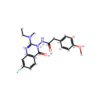 CCN(C)c1nc2cc(F)ccc2c(=O)n1NC(=O)Cc1ccc(OC)cc1